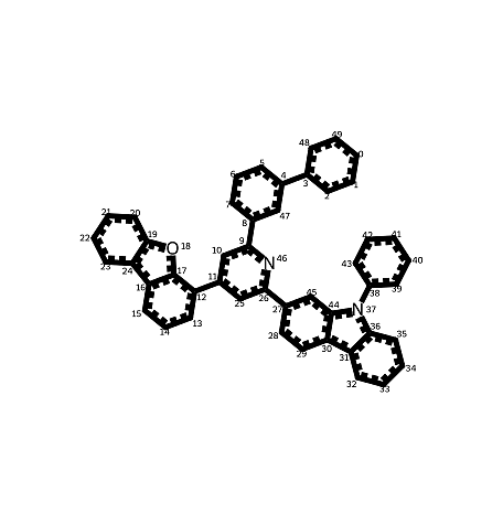 c1ccc(-c2cccc(-c3cc(-c4cccc5c4oc4ccccc45)cc(-c4ccc5c6ccccc6n(-c6ccccc6)c5c4)n3)c2)cc1